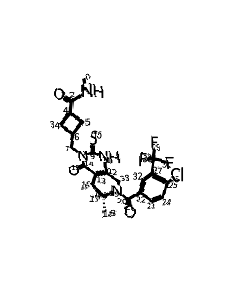 CNC(=O)C1CC(Cn2c(=S)[nH]c3c(c2=O)C[C@@H](C)N(C(=O)c2ccc(Cl)c(C(F)(F)F)c2)C3)C1